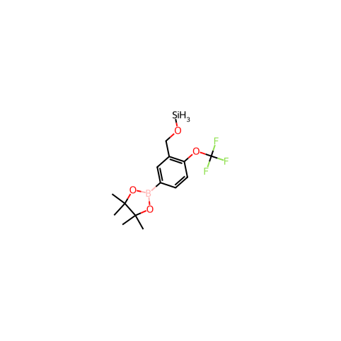 CC1(C)OB(c2ccc(OC(F)(F)F)c(CO[SiH3])c2)OC1(C)C